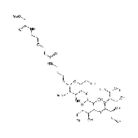 COCC(=O)NCCOCCC(=O)NCCCOC1OC(CO)C(OC2OC(CO)C(O)C(OC(OC(CO)[C@@H](C)O)[C@@H](O)CO)C2O)C(O)C1NC(C)=O